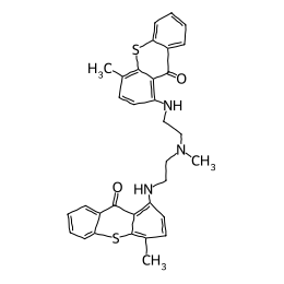 Cc1ccc(NCCN(C)CCNc2ccc(C)c3sc4ccccc4c(=O)c23)c2c(=O)c3ccccc3sc12